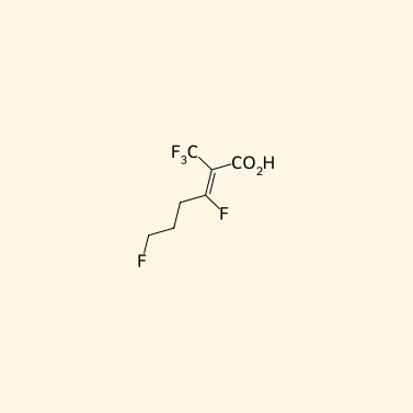 O=C(O)C(=C(F)CCCF)C(F)(F)F